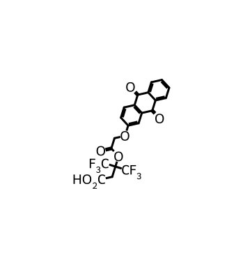 O=C(O)CC(OC(=O)COc1ccc2c(c1)C(=O)c1ccccc1C2=O)(C(F)(F)F)C(F)(F)F